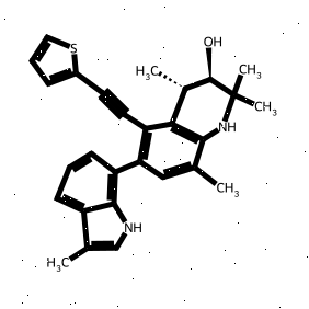 Cc1cc(-c2cccc3c(C)c[nH]c23)c(C#Cc2cccs2)c2c1NC(C)(C)[C@H](O)[C@H]2C